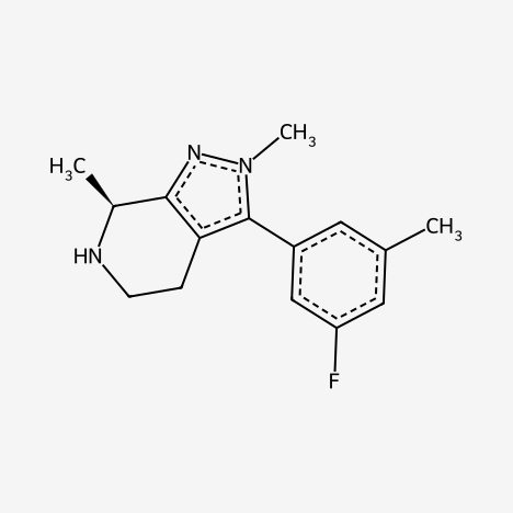 Cc1cc(F)cc(-c2c3c(nn2C)[C@H](C)NCC3)c1